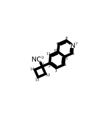 N#CC1(c2ccc3cnccc3c2)CCC1